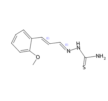 COc1ccccc1/C=C/C=N/NC(N)=S